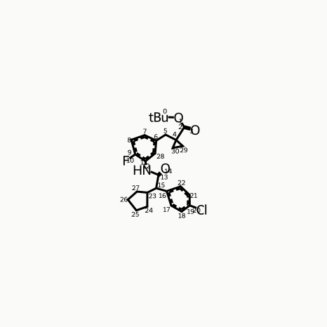 CC(C)(C)OC(=O)C1(Cc2ccc(F)c(NC(=O)C(c3ccc(Cl)cc3)C3CCCC3)c2)CC1